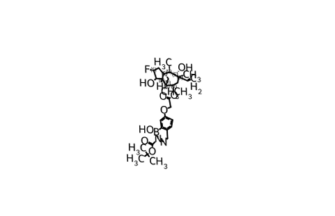 C=C[C@]1(C)C[C@@H](OC(=O)COc2ccc3c(c2)B(O)N(C(=O)OC(C)(C)C)N=C3)[C@]2(C)[C@H](C)CC[C@]3(C[C@H](F)C(O)[C@H]32)[C@@H](C)[C@@H]1O